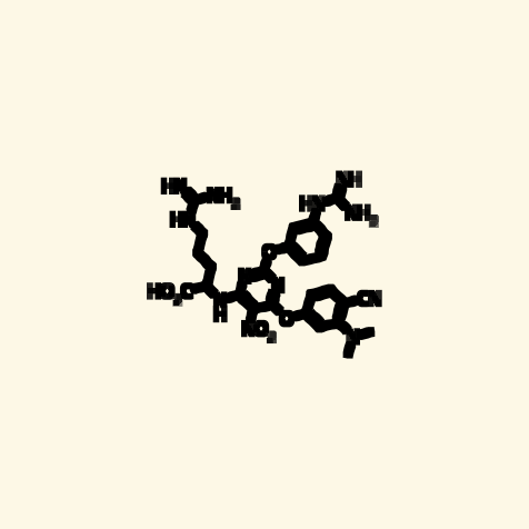 CN(C)c1cc(Oc2nc(Oc3cccc(NC(=N)N)c3)nc(NC(CCCNC(=N)N)C(=O)O)c2[N+](=O)[O-])ccc1C#N